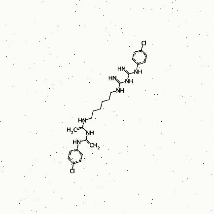 C=C(NCCCCCCNC(=N)NC(=N)Nc1ccc(Cl)cc1)NC(=C)Nc1ccc(Cl)cc1